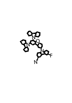 N#Cc1ccc2c(c1)c1cc(F)ccc1n2-c1ccc2oc3c(-n4c5ccccc5c5ccccc54)cc(-n4c5ccccc5c5ccccc54)cc3c2c1